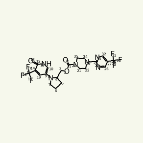 O=C(OCC1CCCN1c1c[nH]c(=O)c(C(F)(F)F)c1)N1CCN(c2ncc(C(F)(F)F)cn2)CC1